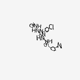 CC(=O)NCCNc1nc(-c2ccc(Cl)cc2)nc(NCCNC(=O)/C=C/c2cccc(C#N)c2)c1C